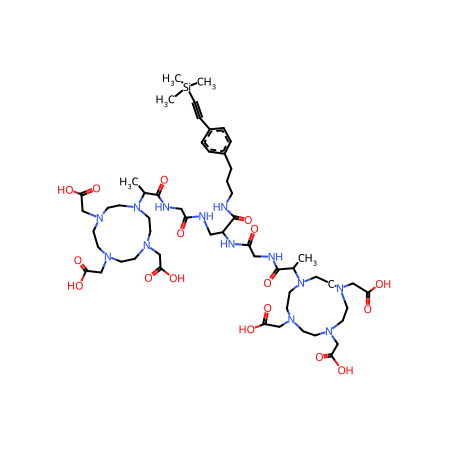 CC(C(=O)NCC(=O)NCC(NC(=O)CNC(=O)C(C)N1CCN(CC(=O)O)CCN(CC(=O)O)CCN(CC(=O)O)CC1)C(=O)NCCCc1ccc(C#C[Si](C)(C)C)cc1)N1CCN(CC(=O)O)CCN(CC(=O)O)CCN(CC(=O)O)CC1